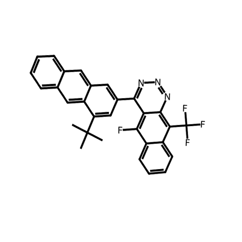 CC(C)(C)c1cc(-c2nnnc3c(C(F)(F)F)c4ccccc4c(F)c23)cc2cc3ccccc3cc12